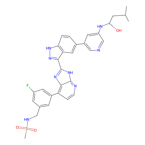 CC(C)CC(O)Nc1cncc(-c2ccc3[nH]nc(-c4nc5c(-c6cc(F)cc(CNS(C)(=O)=O)c6)ccnc5[nH]4)c3c2)c1